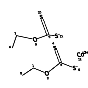 CCOC(=S)[S-].CCOC(=S)[S-].[Cd+2]